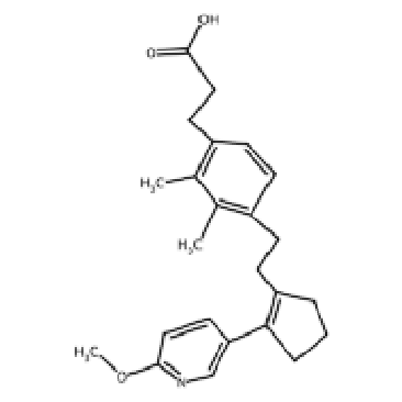 COc1ccc(C2=C(CCc3ccc(CCC(=O)O)c(C)c3C)CCC2)cn1